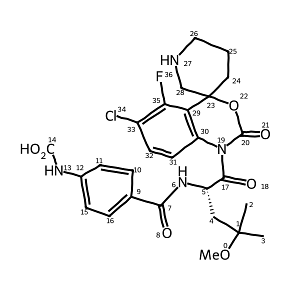 COC(C)(C)C[C@H](NC(=O)c1ccc(NC(=O)O)cc1)C(=O)N1C(=O)OC2(CCCNC2)c2c1ccc(Cl)c2F